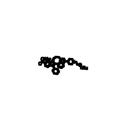 CCCCOCCN1CCC(c2cn3c4c(cccc24)-c2c(C4CCCCC4)c4ccc(C(=O)OC)cc4n2CCC3)CC1